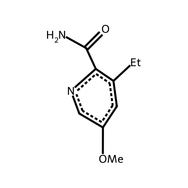 CCc1cc(OC)cnc1C(N)=O